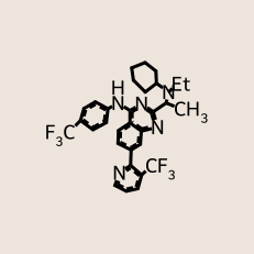 CCN(C1CCCCC1)C(C)c1nc(Nc2ccc(C(F)(F)F)cc2)c2ccc(-c3ncccc3C(F)(F)F)cc2n1